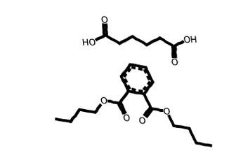 CCCCOC(=O)c1ccccc1C(=O)OCCCC.O=C(O)CCCCC(=O)O